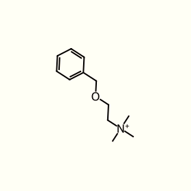 C[N+](C)(C)CCOCc1ccccc1